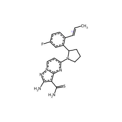 C/C=C/c1ccc(F)cc1C1CCCN1c1ccn2nc(N)c(C(N)=S)c2n1